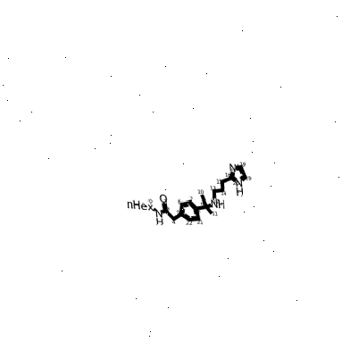 CCCCCCNC(=O)Cc1ccc(C(C)(C)NCCCc2ncc[nH]2)cc1